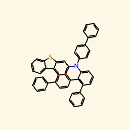 c1ccc(-c2ccc(-c3c(-c4ccccc4)cccc3N(c3ccc(-c4ccccc4)cc3)c3ccc4c(c3)sc3ccccc34)cc2)cc1